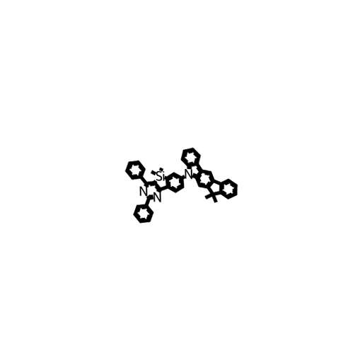 CC1(C)c2ccccc2-c2cc3c4ccccc4n(-c4ccc5c(c4)[Si](C)(C)c4c(-c6ccccc6)nc(-c6ccccc6)nc4-5)c3cc21